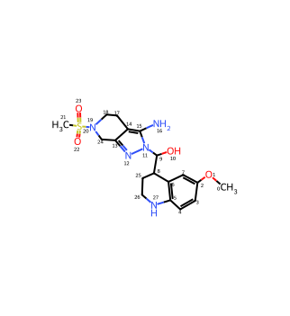 COc1ccc2c(c1)C(C(O)n1nc3c(c1N)CCN(S(C)(=O)=O)C3)CCN2